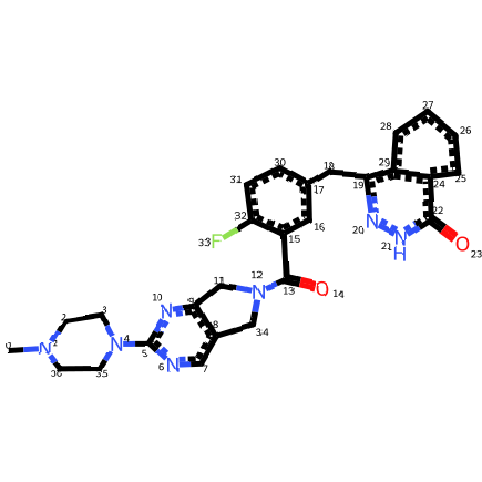 CN1CCN(c2ncc3c(n2)CN(C(=O)c2cc(Cc4n[nH]c(=O)c5ccccc45)ccc2F)C3)CC1